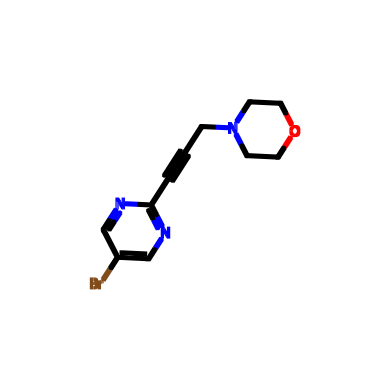 Brc1cnc(C#CCN2CCOCC2)nc1